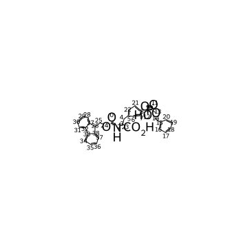 O=C(N[C@H](Cc1ccc(OP(=O)(O)OCc2ccccc2)cc1)C(=O)O)OCC1c2ccccc2-c2ccccc21